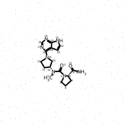 CN(C(=O)N1CCC[C@@H]1C(N)=O)[C@@H]1CCN(c2ncnc3[nH]ccc23)C1